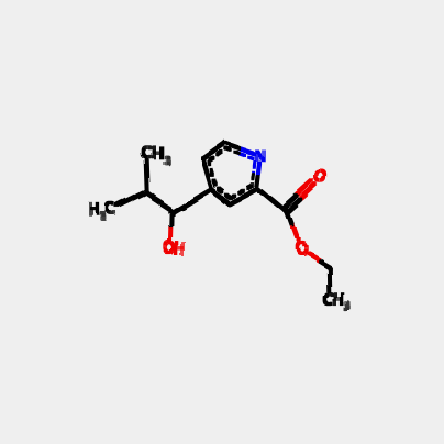 CCOC(=O)c1cc(C(O)C(C)C)ccn1